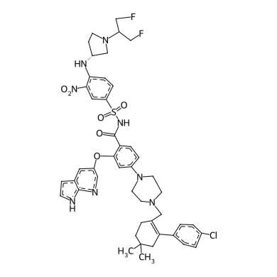 CC1(C)CCC(CN2CCN(c3ccc(C(=O)NS(=O)(=O)c4ccc(N[C@@H]5CCN(C(CF)CF)C5)c([N+](=O)[O-])c4)c(Oc4cnc5[nH]ccc5c4)c3)CC2)=C(c2ccc(Cl)cc2)C1